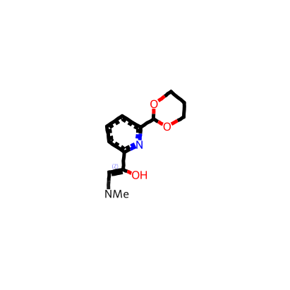 CN/C=C(\O)c1cccc(C2OCCCO2)n1